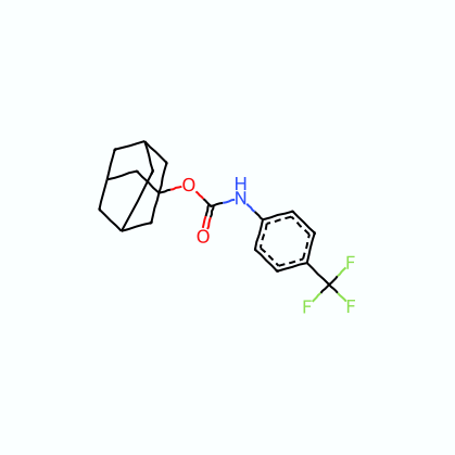 O=C(Nc1ccc(C(F)(F)F)cc1)OC12CC3CC(CC(C3)C1)C2